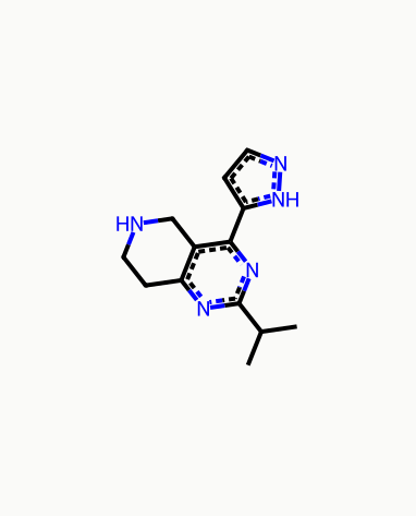 CC(C)c1nc2c(c(-c3ccn[nH]3)n1)CNCC2